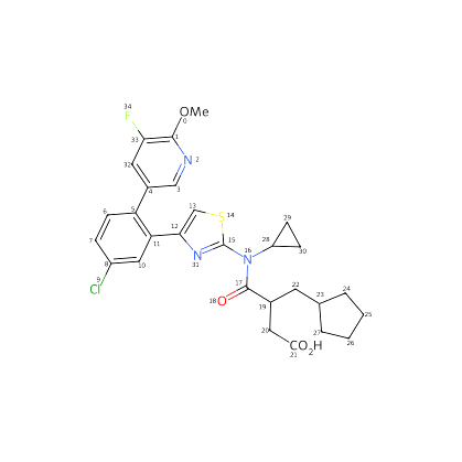 COc1ncc(-c2ccc(Cl)cc2-c2csc(N(C(=O)C(CC(=O)O)CC3CCCC3)C3CC3)n2)cc1F